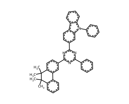 CC1(C)c2ccccc2-c2cc(-c3nc(-c4ccccc4)nc(-c4ccc5c6ccccc6n(-c6ccccc6)c5c4)n3)ccc2C1(C)C